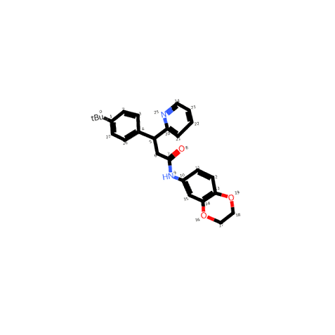 CC(C)(C)c1ccc(C(CC(=O)Nc2ccc3c(c2)OCCO3)c2ccccn2)cc1